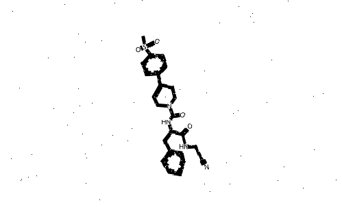 CS(=O)(=O)c1ccc(C2=CCN(C(=O)NC(Cc3ccccc3)C(=O)NCC#N)CC2)cc1